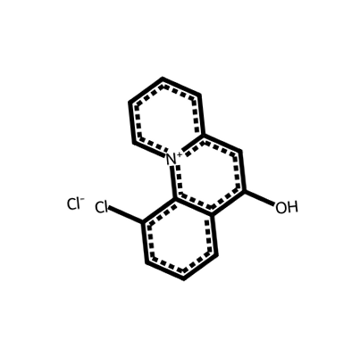 Oc1cc2cccc[n+]2c2c(Cl)cccc12.[Cl-]